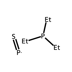 CCP(CC)CC.[P]=S